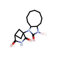 BN1C(=O)N(C23CC(C2)C(=O)NC3=O)C2CCCCCCCC21